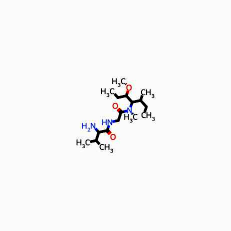 CCC(C)C(C(CC)OC)N(C)C(=O)CNC(=O)C(N)C(C)C